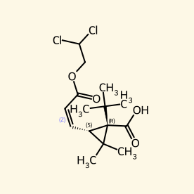 CC(C)(C)[C@]1(C(=O)O)[C@@H](/C=C\C(=O)OCC(Cl)Cl)C1(C)C